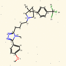 COc1ccc(-c2nnc(CCCCN3C[C@@H]4C[C@]4(c4ccc(C(F)(F)F)cc4)C3)n2C)cc1